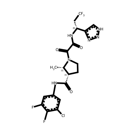 C[C@H]1[C@@H](C(=O)Nc2cc(F)c(F)c(Cl)c2)CCN1C(=O)C(=O)N[C@H](CC(F)(F)F)c1c[nH]nn1